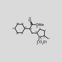 CCOC(=O)N1C(C)CCC1CC(C(=O)OC)C1CCCCC1